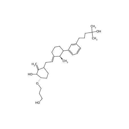 C=C1C(C/C=C2\CCCC(c3cccc(CCCC(C)(C)O)c3)[C@H]2C)CC[C@H](OCCCO)C1O